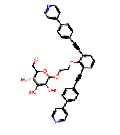 OCC1O[C@@H](OCCOc2c(C#Cc3ccc(-c4ccncc4)cc3)cccc2C#Cc2ccc(-c3ccncc3)cc2)[C@@H](O)C(O)[C@@H]1O